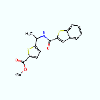 CC(NC(=O)c1cc2ccccc2s1)c1ccc(C(=O)OC(C)(C)C)s1